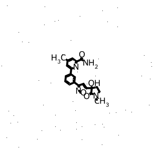 Cc1cc(C(N)=O)nc(-c2cccc(-c3cc(C4(O)CCN(C)C4=O)on3)c2)c1